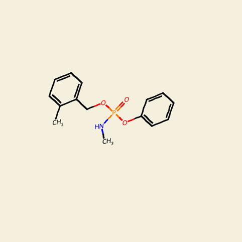 CNP(=O)(OCc1ccccc1C)Oc1ccccc1